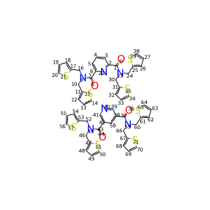 O=C(c1cccc(C(=O)N(Cc2cccs2)Cc2cccs2)n1)N(Cc1cccs1)Cc1cccs1.O=C(c1cncc(C(=O)N(Cc2cccs2)Cc2cccs2)c1)N(Cc1cccs1)Cc1cccs1